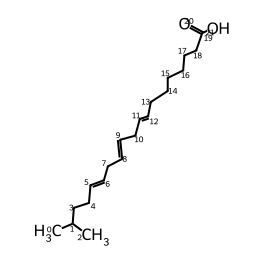 CC(C)CCC=CCC=CCC=CCCCCCCC(=O)O